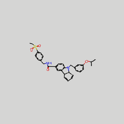 CCS(=O)(=O)c1ccc(CNC(=O)c2ccc3c(c2)C2C=CC=CC2N3Cc2cccc(OC(C)C)c2)cc1